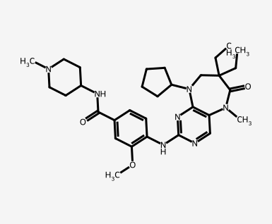 CCC1(CC)CN(C2CCCC2)c2nc(Nc3ccc(C(=O)NC4CCN(C)CC4)cc3OC)ncc2N(C)C1=O